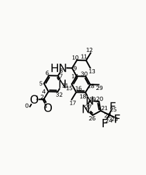 COC(=O)c1ccc(NC(CC(C)C)c2cc(C)c(-n3cc(C(F)(F)F)cn3)c(C)c2)nc1